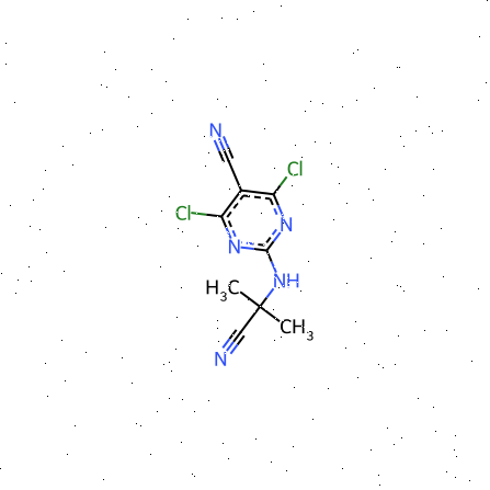 CC(C)(C#N)Nc1nc(Cl)c(C#N)c(Cl)n1